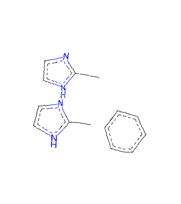 Cc1ncc[nH]1.Cc1ncc[nH]1.c1ccccc1